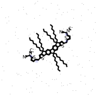 [C-]#[N+]/C(C#N)=c1/cc/c(=C/c2cc3c(s2)-c2cc4c(cc2C3(CCCCCCCC)CCCCCCCC)-c2cc3c(cc2C4(CCCCCCCC)CCCCCCCC)-c2sc(/C=c4/cc/c(=C(/C#N)[N+]#[C-])s4)cc2C3(CCCCCCCC)CCCCCCCC)s1